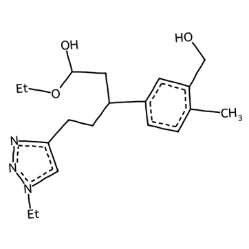 CCOC(O)CC(CCc1cn(CC)nn1)c1ccc(C)c(CO)c1